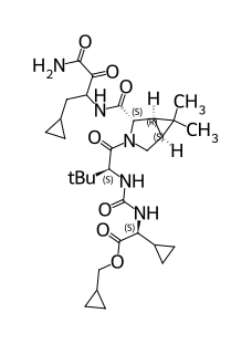 CC(C)(C)[C@H](NC(=O)N[C@H](C(=O)OCC1CC1)C1CC1)C(=O)N1C[C@H]2[C@@H]([C@H]1C(=O)NC(CC1CC1)C(=O)C(N)=O)C2(C)C